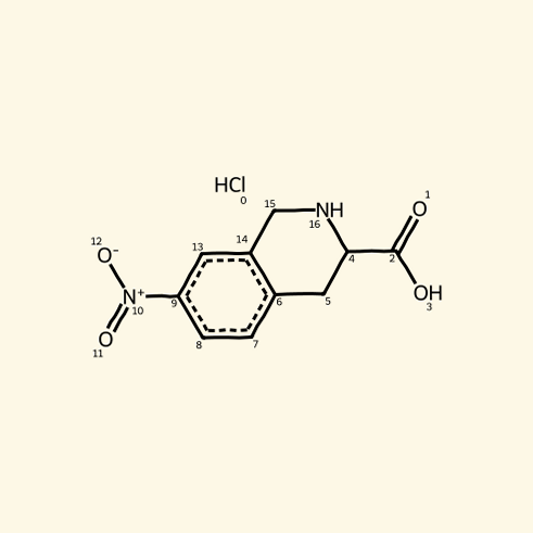 Cl.O=C(O)C1Cc2ccc([N+](=O)[O-])cc2CN1